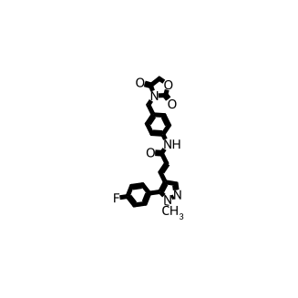 Cn1ncc(C=CC(=O)Nc2ccc(CN3C(=O)COC3=O)cc2)c1-c1ccc(F)cc1